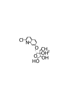 C=C[C@@]1(O)[C@@H](COc2ccc3ccc(Cl)nc3c2)OC(O)[C@@H]1O